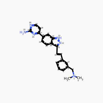 CN(C)Cc1cccc(C=Cc2n[nH]c3cc(-c4ccnc(N)n4)ccc23)c1